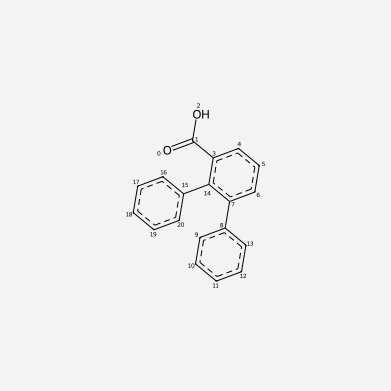 O=C(O)c1cccc(-c2ccccc2)c1-c1ccccc1